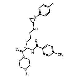 CCN1CCN(C(=O)[C@H](CCCNC2C[C@H]2c2ccc(C)cc2)NC(=O)c2ccc(C(F)(F)F)cc2)CC1